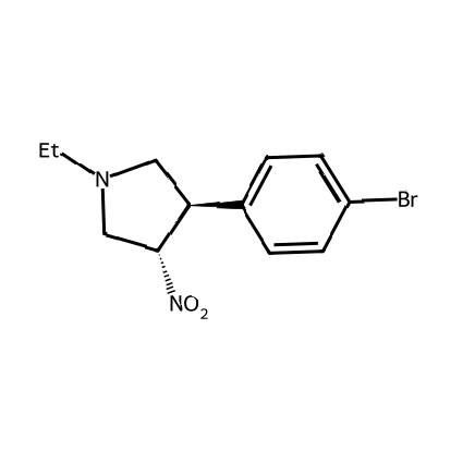 CCN1C[C@@H]([N+](=O)[O-])[C@H](c2ccc(Br)cc2)C1